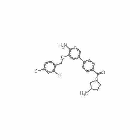 Nc1ncc(-c2ccc(C(=O)N3CCC(N)C3)cc2)cc1OCc1ccc(Cl)cc1Cl